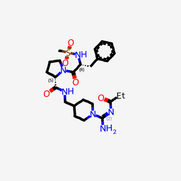 CCC(=O)/N=C(/N)N1CCC(CNC(=O)[C@@H]2CCCN2C(=O)[C@@H](Cc2ccccc2)NS(C)(=O)=O)CC1